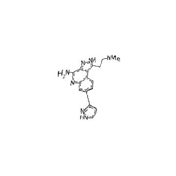 CNCCc1[nH]nc2c(N)nc3cc(-c4cc[nH]n4)ccc3c12